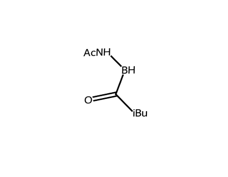 CCC(C)C(=O)BNC(C)=O